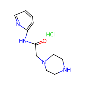 Cl.O=C(CN1CCNCC1)Nc1ccccn1